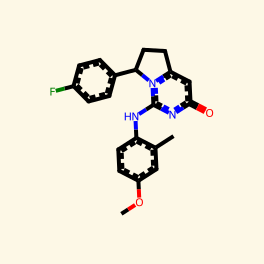 COc1ccc(Nc2nc(=O)cc3n2C(c2ccc(F)cc2)CC3)c(C)c1